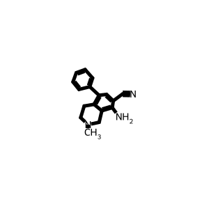 CN1CCc2c(-c3ccccc3)cc(C#N)c(N)c2C1